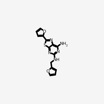 Nc1nc(NCc2ccco2)nc2sc(-c3ccco3)nc12